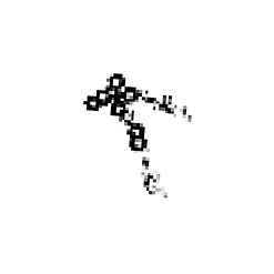 C=CC(=O)OCCOc1ccc(C2(c3ccc4sc(-c5ccc6cc(OCCOC(=O)C=C)ccc6c5)nc4c3)c3ccccc3-c3cc4ccccc4cc32)cc1